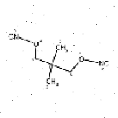 CC(C)(CON=O)CON=O